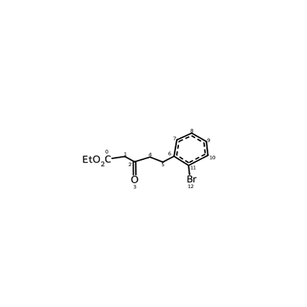 CCOC(=O)CC(=O)CCc1ccccc1Br